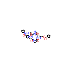 CC[C@]1(C)NC(=O)[C@H](CCCCOC(=O)c2ccccc2)NC(=O)[C@H]2CCCN2C(=O)[C@H](Cc2ccc(C(=O)Nc3ccccc3)cc2)NC1=O